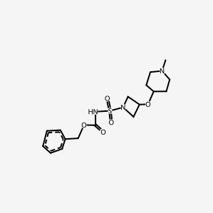 CN1CCC(OC2CN(S(=O)(=O)NC(=O)OCc3ccccc3)C2)CC1